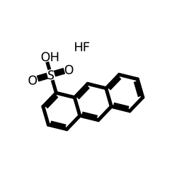 F.O=S(=O)(O)c1cccc2cc3ccccc3cc12